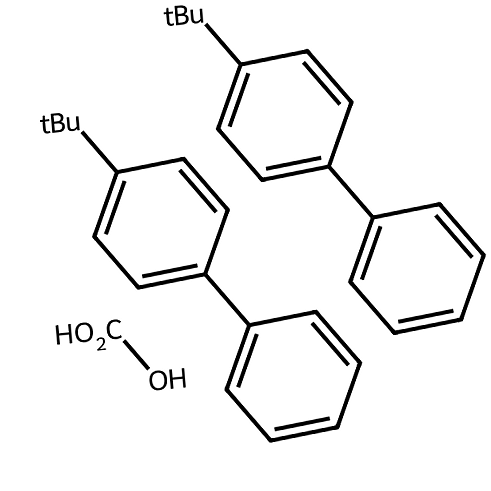 CC(C)(C)c1ccc(-c2ccccc2)cc1.CC(C)(C)c1ccc(-c2ccccc2)cc1.O=C(O)O